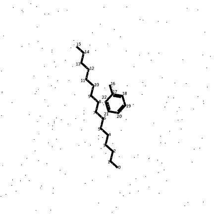 CCCCCCCCCCCCCCCC.Cc1ccccc1